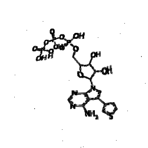 Nc1ncnc2c1c(-c1ccsc1)cn2C1OC(COP(=O)(O)OP(=O)(O)OP(=O)(O)O)C(O)C1O